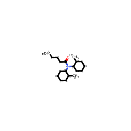 CCCCCCCCCCCCCC(=O)N(C1CCCCC1C)C1CCCCC1C